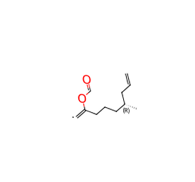 [CH]=C(CCC[C@@H](C)CC=C)OC=O